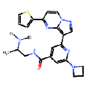 CCN(CC)C(C)CNC(=O)c1cc(-c2cnn3ccc(-c4cccs4)nc23)nc(N2CCC2)c1